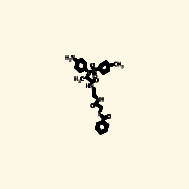 Cc1ccc(S(=O)(=O)N(c2ccc(N)cc2)[C@@H](C)C(=O)NCCNC(=O)CSC(=O)c2ccccc2)cc1